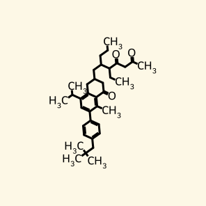 CCCC(CC1CC(=O)c2c(C)c(-c3ccc(CC(C)(C)C)cc3)cc(C(C)C)c2C1)C(CC)C(=O)CC(C)=O